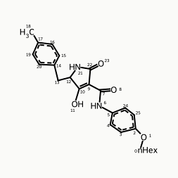 CCCCCCOc1ccc(NC(=O)C2=C(O)C(Cc3ccc(C)cc3)NC2=O)cc1